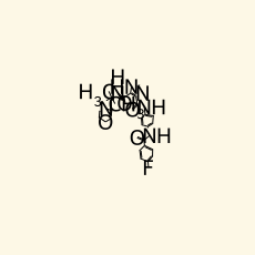 CC(C)(CN1CCOCC1)NC(=O)c1[nH]cnc1C(=O)Nc1ccc(NC(=O)c2ccc(F)cc2)cc1